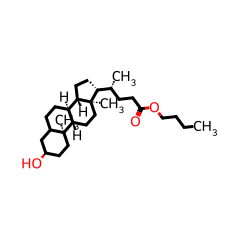 CCCCOC(=O)CC[C@@H](C)[C@H]1CC[C@H]2[C@@H]3CCC4C[C@H](O)CC[C@]4(C)[C@H]3CC[C@]12C